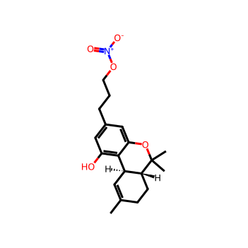 CC1=C[C@H]2c3c(O)cc(CCCO[N+](=O)[O-])cc3OC(C)(C)[C@@H]2CC1